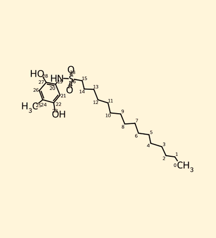 CCCCCCCCCCCCCCCCS(=O)(=O)Nc1cc(O)c(C)cc1O